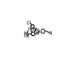 Cc1noc(C)c1-c1ccc2nc(N3CCC(CCN(C)C)CC3)nc(N)c2c1Cc1cccc(Cl)c1